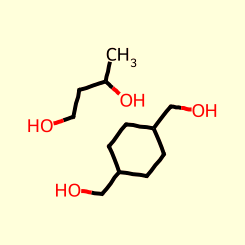 CC(O)CCO.OCC1CCC(CO)CC1